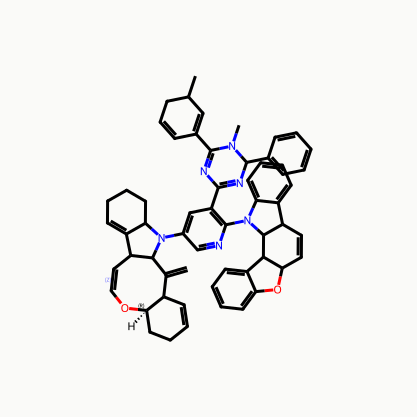 C=C1C2C=CCC[C@H]2O/C=C\C2C3=CCCCC3N(c3cnc(N4c5ccccc5C5C=CC6Oc7ccccc7C6C54)c(C4=NC(c5ccccc5)N(C)C(C5=CC(C)CC=C5)=N4)c3)C12